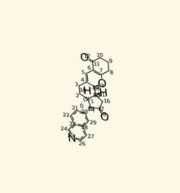 C[C@]12CCC3=CC4=C(CCCC4=O)O[C@H]3[C@@H]1CC(=O)[C@@H]2c1ccc2cnccc2c1